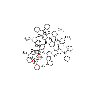 Cc1cc(C)c(N2c3cc4c(cc3B3c5ccc6oc7c(C(C)(C)C)cccc7c6c5Oc5cc(N(c6ccccc6)c6ccccc6)cc2c53)B2c3cc5c(cc3N(c3c(C)cc(C)cc3C)c3cc(N(c6ccccc6)c6ccccc6)cc(c32)N4c2c(C)cc(C)cc2C)Nc2cc(N(c3ccccc3)c3ccccc3)cc3c2B5c2ccc4oc5c(C(C)(C)C)cccc5c4c2N3c2ccccc2)c(C)c1